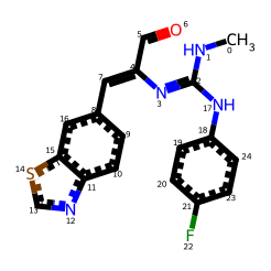 CN/C(=N\C(C=O)=C/c1ccc2ncsc2c1)Nc1ccc(F)cc1